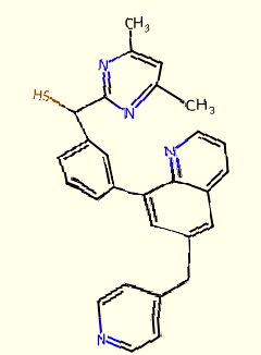 Cc1cc(C)nc(C(S)c2cccc(-c3cc(Cc4ccncc4)cc4cccnc34)c2)n1